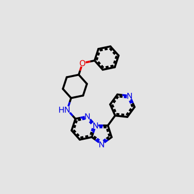 c1ccc(OC2CCC(Nc3ccc4ncc(-c5ccncc5)n4n3)CC2)cc1